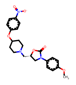 COc1ccc(N2C[C@H](CN3CCC(Oc4ccc([N+](=O)[O-])cc4)CC3)OC2=O)cc1